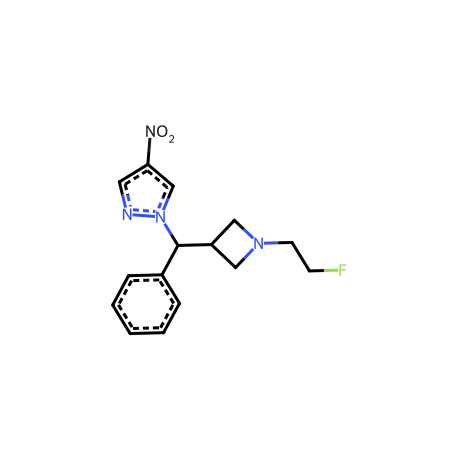 O=[N+]([O-])c1cnn(C(c2ccccc2)C2CN(CCF)C2)c1